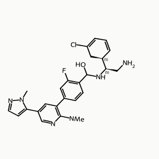 CNc1ncc(-c2ccnn2C)cc1-c1ccc(C(O)N[C@H](CN)[C@@H]2C=CC=C(Cl)C2)c(F)c1